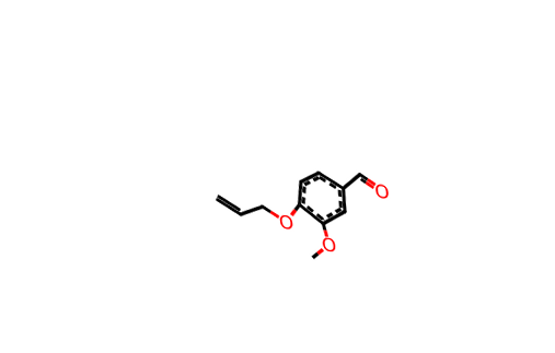 C=CCOc1ccc(C=O)cc1OC